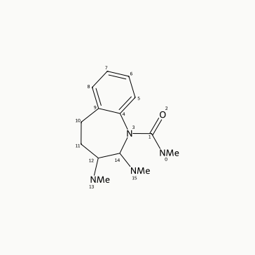 CNC(=O)N1c2ccccc2CCC(NC)C1NC